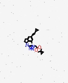 Cc1cc(C#CC2CC2)cc2c1C(N(C)c1cn(CC3OCC4(CC4)CO3)nn1)CC2